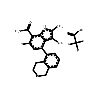 Cc1[nH]c2c(C(N)=O)c(F)cc(-c3cccc4c3CCNC4)c2c1C.O=C(O)C(F)(F)F